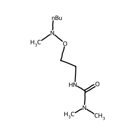 CCCCN(C)OCCNC(=O)N(C)C